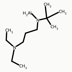 CCN(CC)CCC[N]([AlH2])C(C)(C)C